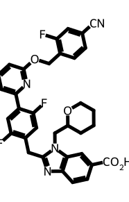 N#Cc1ccc(COc2cccc(-c3cc(F)c(Cc4nc5ccc(C(=O)O)cc5n4CC4CCCCO4)cc3F)n2)c(F)c1